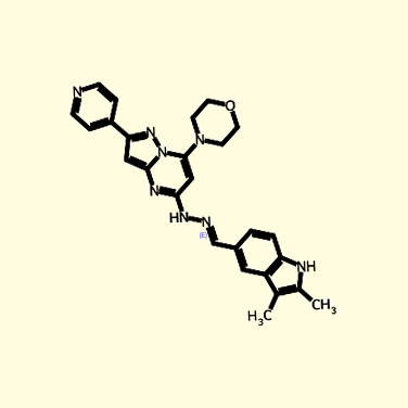 Cc1[nH]c2ccc(/C=N/Nc3cc(N4CCOCC4)n4nc(-c5ccncc5)cc4n3)cc2c1C